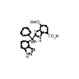 CCCC(c1ccccc1)(c1nc2c(OC)ccc(C(=O)O)c2[nH]1)c1cccc2[nH]nnc12